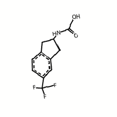 O=C(O)NC1Cc2ccc(C(F)(F)F)cc2C1